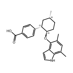 Cc1cc(C)c2[nH]ccc2c1O[C@@H]1CC[C@@H](C)C[C@H]1c1ccc(C(=O)O)cc1